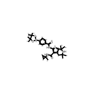 CC1(C)Cc2c(sc(NC(=O)c3ccc(B4OC(C)(C)C(C)(C)O4)cc3)c2C(=O)NC2(C)CC2)C(C)(C)N1